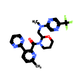 Cc1ccc(-c2ncccn2)c(C(=O)N2CCCOC2CN(C)c2cnc(C(F)(F)F)cn2)n1